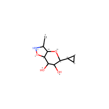 CCC1NOC2C(O)C(O)C(C3CC3)OC12